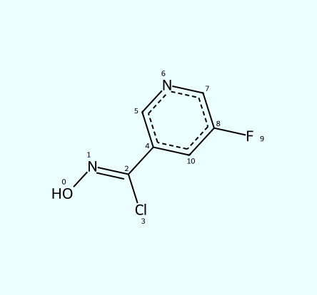 ON=C(Cl)c1cncc(F)c1